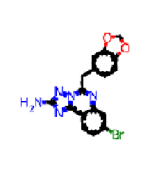 Nc1nc2c3ccc(Br)cc3nc(Cc3ccc4c(c3)OCO4)n2n1